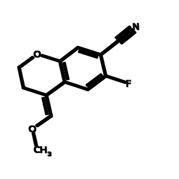 COC=C1CCOc2cc(C#N)c(F)cc21